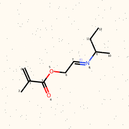 C=C(C)C(=O)OC/C=N/C(C)CC